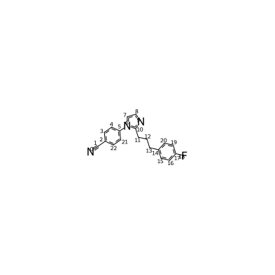 N#Cc1ccc(-n2ccnc2CCCc2ccc(F)cc2)cc1